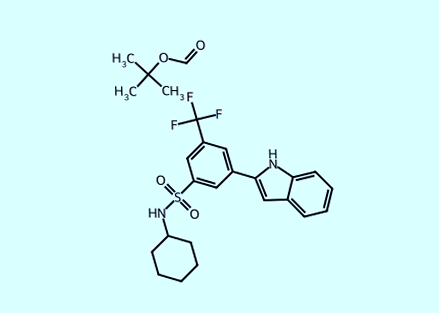 CC(C)(C)OC=O.O=S(=O)(NC1CCCCC1)c1cc(-c2cc3ccccc3[nH]2)cc(C(F)(F)F)c1